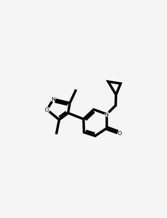 Cc1noc(C)c1-c1ccc(=O)n(CC2CC2)c1